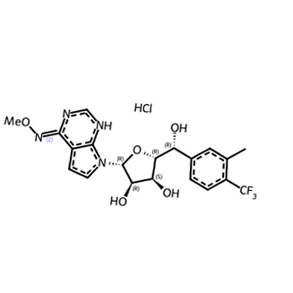 CO/N=c1\nc[nH]c2c1ccn2[C@@H]1O[C@H]([C@H](O)c2ccc(C(F)(F)F)c(C)c2)[C@@H](O)[C@H]1O.Cl